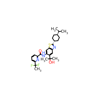 CC(C)[C@H]1CC[C@H](c2nc3cc(C(C)(C)O)c(NC(=O)c4cccc(C(C)(F)F)n4)cc3s2)CC1